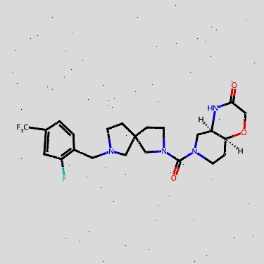 O=C1CO[C@H]2CCN(C(=O)N3CCC4(CCN(Cc5ccc(C(F)(F)F)cc5F)C4)C3)C[C@H]2N1